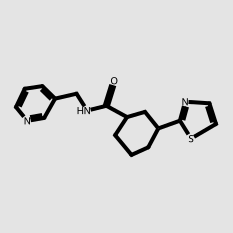 O=C(NCc1cccnc1)C1CCCC(c2nccs2)C1